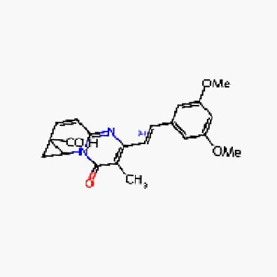 COc1cc(/C=C/c2nc3n(c(=O)c2C)C2CC2(C(=O)O)C=C3)cc(OC)c1